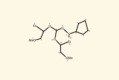 CCC(COC)OC(O[SiH2]C1CCCC1)OC(CC)COC